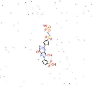 NC(=O)c1nn(-c2cccc(S(=O)(=O)O)c2)c(O)c1/N=N/c1ccc(S(=O)(=O)CCOS(=O)(=O)O)cc1